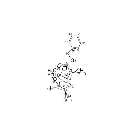 B[C@@H]1O[C@]2([C@H](C)C(=O)OCc3ccccc3)C(C)[C@@H]1OC2(C)C